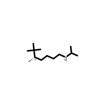 CC(C)NCCCC[C@H](C)C(C)(C)C